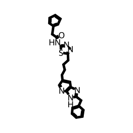 O=C(Cc1ccccc1)Nc1nnc(CCCCc2cnc3[nH]c(Cc4ccccc4)nc3c2)s1